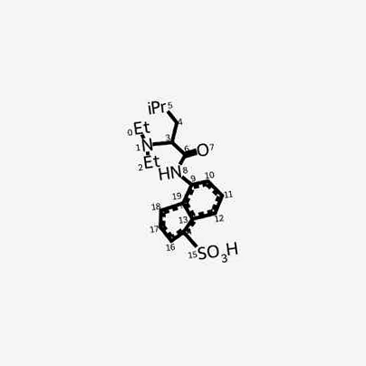 CCN(CC)C(CC(C)C)C(=O)Nc1cccc2c(S(=O)(=O)O)cccc12